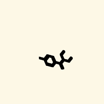 C=C(c1ccc(C)cc1)C(CC)CC